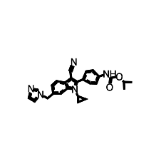 CC(C)OC(=O)Nc1ccc(-c2c(C#N)c3ccc(Cn4ccnc4)cc3n2C2CC2)cc1